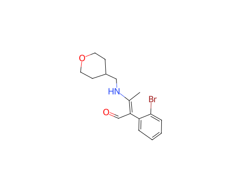 C/C(NCC1CCOCC1)=C(/C=O)c1ccccc1Br